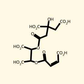 O=C(O)/C=C\C(=O)OC(C(=O)O)C(OC(=O)CC(O)(CC(=O)O)C(=O)O)C(=O)O